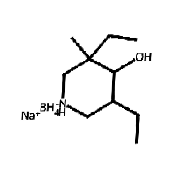 CCC1CNCC(C)(CC)C1O.[BH4-].[Na+]